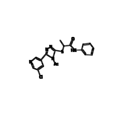 CC(=O)n1c(SC(C)C(=O)Nc2ccccc2)nnc1-c1cncc(Cl)c1